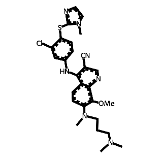 COc1c(N(C)CCCN(C)C)ccc2c(Nc3ccc(Sc4nccn4C)c(Cl)c3)c(C#N)cnc12